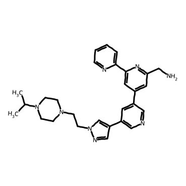 CC(C)N1CCN(CCn2cc(-c3cncc(-c4cc(CN)nc(-c5ccccn5)c4)c3)cn2)CC1